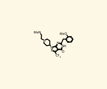 CNCCN1CCC(n2nc(C(F)(F)F)c3c(=O)[nH]c(Cc4ccccc4OC)nc32)CC1